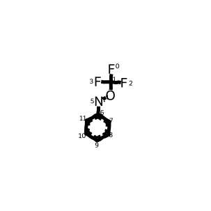 FC(F)(F)O[N]c1ccccc1